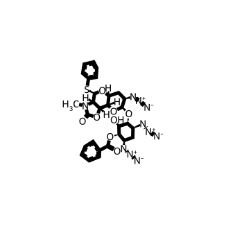 CN1C(=O)O[C@H]2[C@H]3O[C@H](O[C@H]4[C@H](O)[C@@H](OC(=O)c5ccccc5)[C@H](N=[N+]=[N-])C[C@@H]4N=[N+]=[N-])[C@H](N=[N+]=[N-])C[C@@H]3O[C@H](Sc3ccccc3)[C@H]21